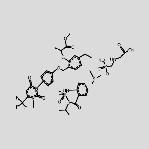 CC(C)N1C(=O)c2ccccc2NS1(=O)=O.CCc1ccc(COc2ccc(-n3c(=O)cc(C(F)(F)F)n(C)c3=O)cc2)c(OC(C)C(=O)OC)c1.C[S+](C)C.O=C(O)CNCP(=O)([O-])O